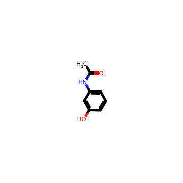 CC(=O)Nc1cc[c]c(O)c1